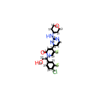 O=c1cc(-c2ccnc(NC3CCOCC3)n2)c(F)cn1[C@H](CO)c1ccc(Cl)c(F)c1